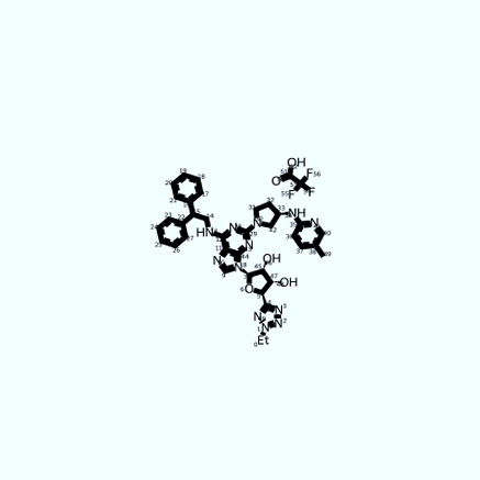 CCn1nnc([C@H]2O[C@@H](n3cnc4c(NCC(c5ccccc5)c5ccccc5)nc(N5CC[C@@H](Nc6ccc(C)cn6)C5)nc43)[C@H](O)[C@@H]2O)n1.O=C(O)C(F)(F)F